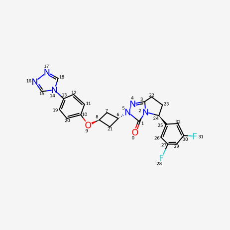 O=c1n2c(nn1[C@H]1C[C@H](Oc3ccc(-n4cnnc4)cc3)C1)CC[C@H]2c1cc(F)cc(F)c1